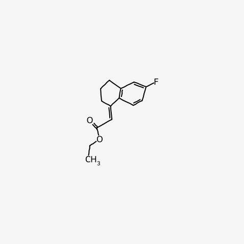 CCOC(=O)C=C1CCCc2cc(F)ccc21